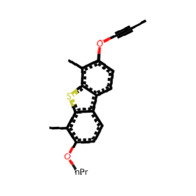 CC#COc1ccc2c(sc3c(C)c(OCCC)ccc32)c1C